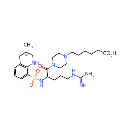 C[C@@H]1CNc2c(cccc2S(=O)(=O)NC(CCCNC(=N)N)C(=O)N2CCN(CCCCCC(=O)O)CC2)C1